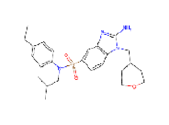 CCc1ccc(N(CC(C)C)S(=O)(=O)c2ccc3c(c2)nc(N)n3CC2CCOCC2)cc1